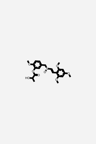 COc1cc(OC)c(/C=C/[S+]([O-])Cc2ccc(OC)c(OC(=O)C(C)O)c2)c(OC)c1